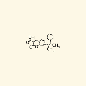 CC(c1ccccc1)N(C)c1ccc2cc(C(=O)O)c(=O)oc2c1